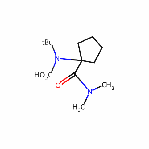 CN(C)C(=O)C1(N(C(=O)O)C(C)(C)C)CCCC1